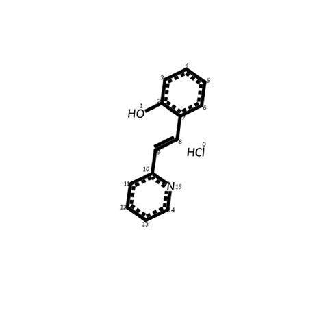 Cl.Oc1ccccc1C=Cc1ccccn1